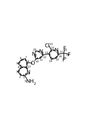 Nc1ccc2cccc(Oc3cc(-c4ccc(C(F)(F)F)nc4Cl)ncn3)c2n1